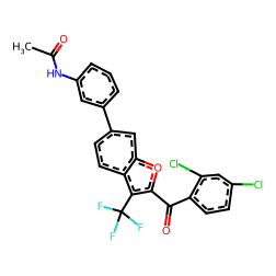 CC(=O)Nc1cccc(-c2ccc3c(C(F)(F)F)c(C(=O)c4ccc(Cl)cc4Cl)oc3c2)c1